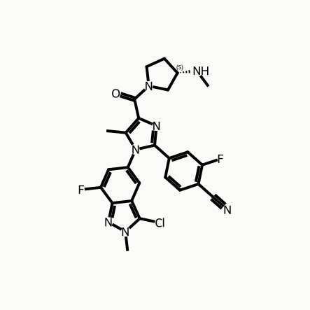 CN[C@H]1CCN(C(=O)c2nc(-c3ccc(C#N)c(F)c3)n(-c3cc(F)c4nn(C)c(Cl)c4c3)c2C)C1